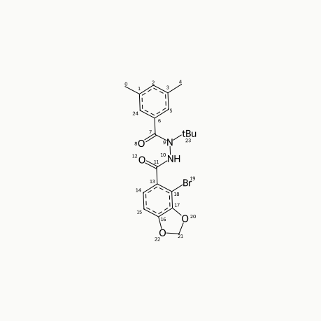 Cc1cc(C)cc(C(=O)N(NC(=O)c2ccc3c(c2Br)OCO3)C(C)(C)C)c1